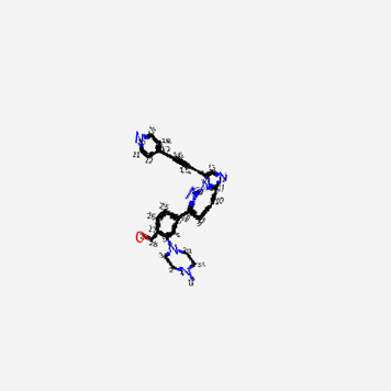 CN1CCN(c2cc(-c3ccc4ncc(C#Cc5ccncc5)n4n3)ccc2C=O)CC1